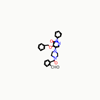 O=Cc1ccccc1C(=O)N1CCN(c2cnn(-c3ccccc3)c(=O)c2OCc2ccccc2)CC1